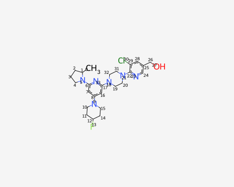 CC1CCCN1c1cc(N2CCC(F)CC2)cc(N2CCN(c3ncc(CO)cc3Cl)CC2)n1